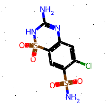 NC1=Nc2cc(Cl)c(S(N)(=O)=O)cc2S(=O)(=O)N1